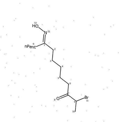 CCCCC/C(CCCCCC(=O)C(C)Br)=N\O